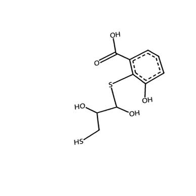 O=C(O)c1cccc(O)c1SC(O)C(O)CS